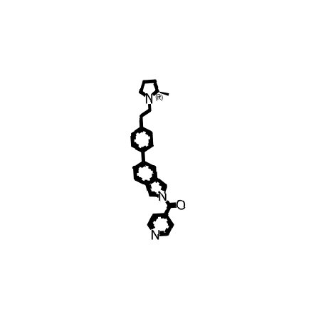 C[C@@H]1CCCN1CCc1ccc(-c2ccc3cn(C(=O)c4ccncc4)cc3c2)cc1